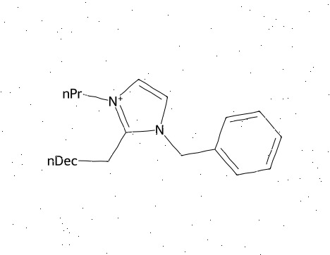 CCCCCCCCCCCc1n(Cc2ccccc2)cc[n+]1CCC